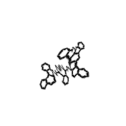 c1ccc2c(c1)ccc1c2c2ccccc2n1-c1nnc(-n2c3ccc4ccccc4c3c3cc4c5ccccc5n5c6ccccc6c(c32)c45)c2ccccc12